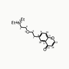 CCN(CC)CCOCCc1ccc2occc(=O)c2c1